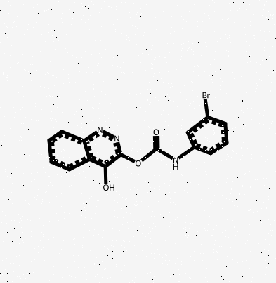 O=C(Nc1cccc(Br)c1)Oc1nnc2ccccc2c1O